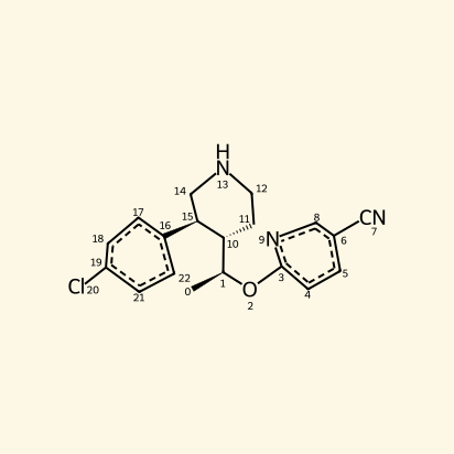 C[C@H](Oc1ccc(C#N)cn1)[C@H]1CCNC[C@@H]1c1ccc(Cl)cc1